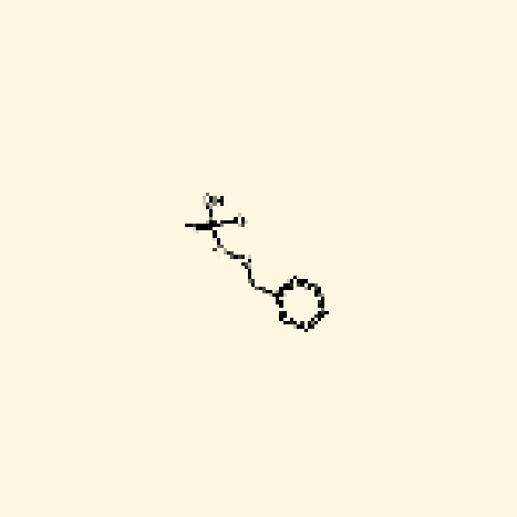 [O]P(=O)(O)OOCc1ccccc1